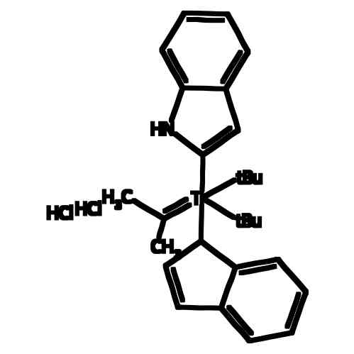 C[C](C)=[Ti]([c]1cc2ccccc2[nH]1)([CH]1C=Cc2ccccc21)([C](C)(C)C)[C](C)(C)C.Cl.Cl